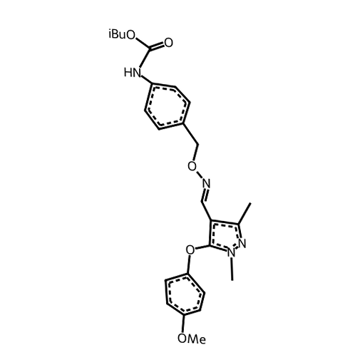 COc1ccc(Oc2c(C=NOCc3ccc(NC(=O)OCC(C)C)cc3)c(C)nn2C)cc1